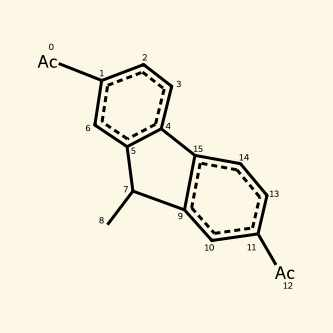 CC(=O)c1ccc2c(c1)C(C)c1cc(C(C)=O)ccc1-2